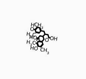 Cc1cc(CC(CC(=O)O)C(CC(=O)O)Cc2cc(C)c(O)c(C)c2)cc(C)c1O